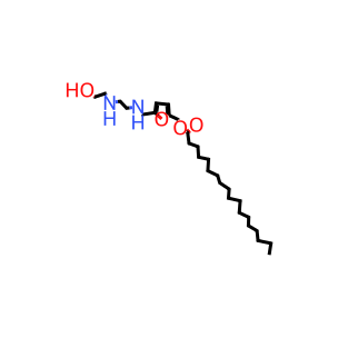 CCCCCCCCCCCCCCCCCC(=O)OCc1ccc(CNCCNCCO)o1